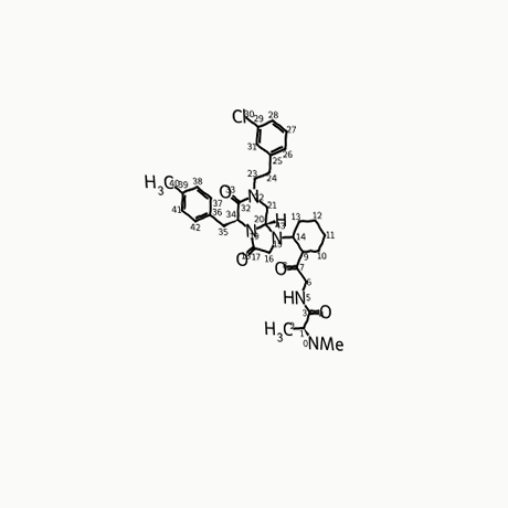 CN[C@@H](C)C(=O)NCC(=O)C1CCCCC1N1CC(=O)N2[C@@H]1CN(CCc1cccc(Cl)c1)C(=O)[C@@H]2Cc1ccc(C)cc1